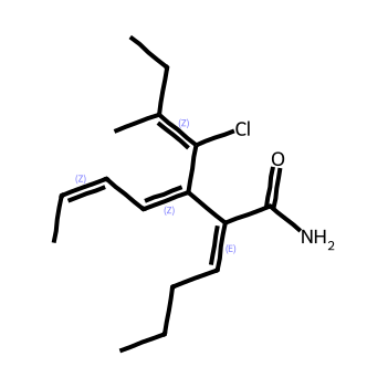 C\C=C/C=C(C(\Cl)=C(/C)CC)/C(=C\CCC)C(N)=O